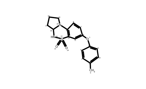 Cc1ccc(Oc2ccc3c(c2)S(=O)(=O)NC2CCCN32)cc1